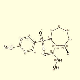 COc1ccc(S(=O)(=O)N2CCCC[C@@H](C)[C@@H]2C(=O)NO)cc1